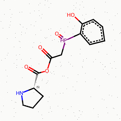 O=C(C[PH](=O)c1ccccc1O)OC(=O)[C@@H]1CCCN1